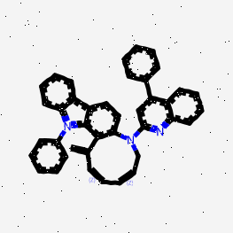 C=C1/C=C\C=C/CN(c2cc(-c3ccccc3)c3ccccc3n2)c2ccc3c4ccccc4n(-c4ccccc4)c3c21